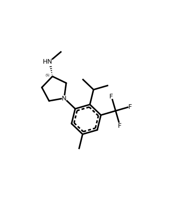 CN[C@H]1CCN(c2cc(C)cc(C(F)(F)F)c2C(C)C)C1